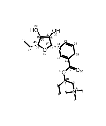 CC[C@H](C[N+](C)(C)C)OC(=O)C1=CN([C@@H]2O[C@H](CC)[C@@H](O)[C@H]2O)C=CC1